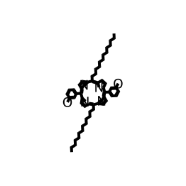 CCCCCCCCCCCCCC1=C2C=CC(=N2)C(c2cccc(OC)c2)=C2C=CC(=N2)C(CCCCCCCCCCCCC)=C2C=CC(=N2)C(c2cccc(OC)c2)=C2C=CC1=N2